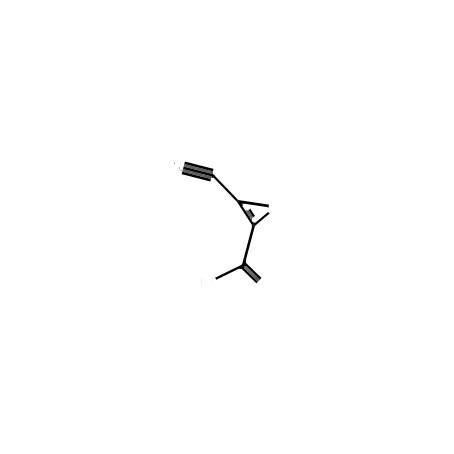 N#CC1=C(C(=O)O)O1